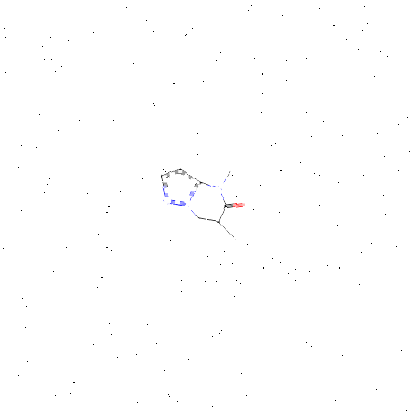 CC1Cn2nccc2N(C)C1=O